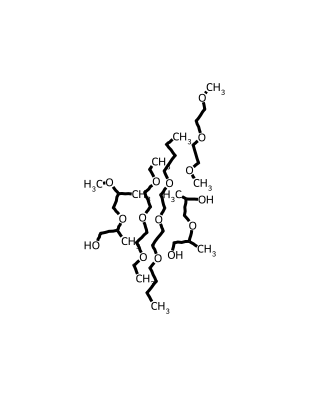 CC(O)COC(C)CO.CCCCOCCOCCOCCCC.CCOCCOCCOCC.COC(C)COC(C)CO.COCCOCCOC